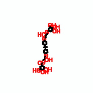 CC(C)(c1ccc(OCC(O)COC(=O)c2cc(O)c(O)c(O)c2)cc1)c1ccc(OCC(O)COc2cc(O)c(O)c(O)c2)cc1